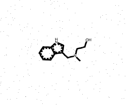 CN(CCO)Cc1c[nH]c2ccccc12